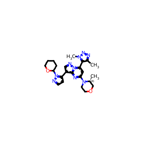 Cc1nnn(C)c1-c1cc(N2CCOC[C@H]2C)nc2c(-c3ccnn3C3CCCCO3)cnn12